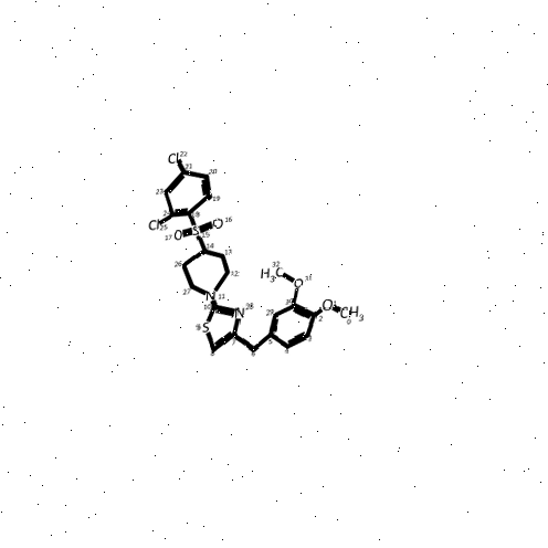 COc1ccc(Cc2csc(N3CCC(S(=O)(=O)c4ccc(Cl)cc4Cl)CC3)n2)cc1OC